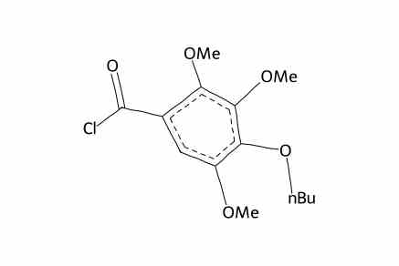 CCCCOc1c(OC)cc(C(=O)Cl)c(OC)c1OC